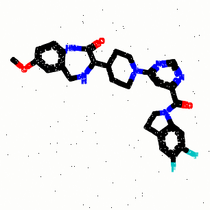 COc1ccc2c(c1)CNC(C1CCN(c3cc(C(=O)N4CCc5cc(F)c(F)cc54)ncn3)CC1)C(=O)N2